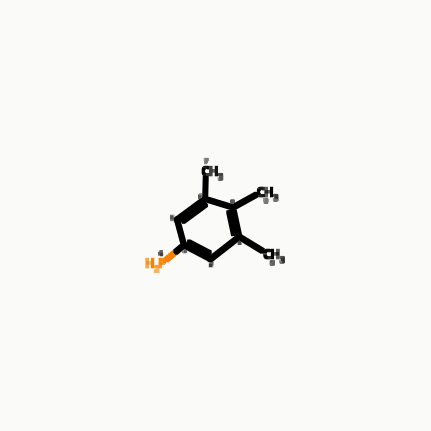 Cc1cc(P)cc(C)c1C